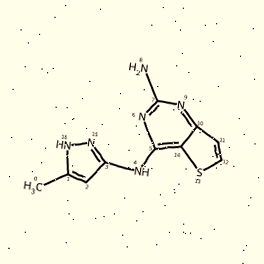 Cc1cc(Nc2nc(N)nc3ccsc23)n[nH]1